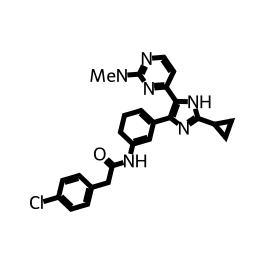 CNc1nccc(-c2[nH]c(C3CC3)nc2C2=CCCC(NC(=O)Cc3ccc(Cl)cc3)=C2)n1